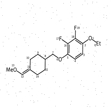 CCOc1ccc(OCC2CCC(=COC)CC2)c(F)c1F